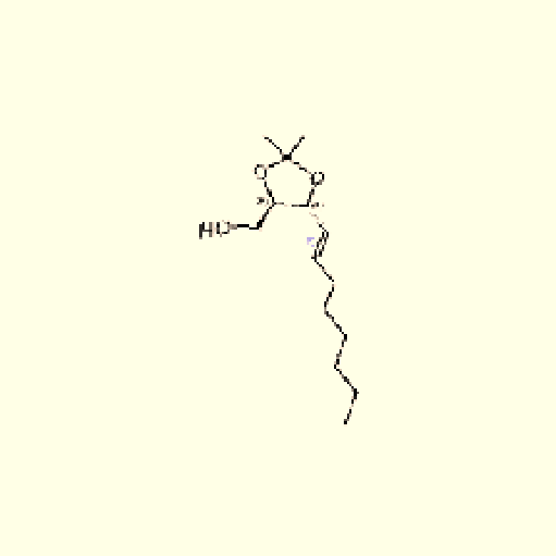 CCCCCC/C=C/[C@H]1OC(C)(C)O[C@@H]1CO